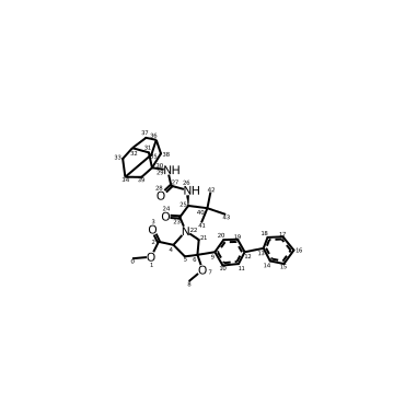 COC(=O)C1CC(OC)(c2ccc(-c3ccccc3)cc2)CN1C(=O)[C@@H](NC(=O)NC12CC3CC(CC(C3)C1)C2)C(C)(C)C